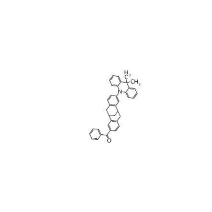 CC1(C)c2ccccc2N(c2ccc3c(c2)C2Cc4ccc(C(=O)c5ccccc5)cc4C(C3)C2)c2ccccc21